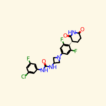 O=C1CC[C@H](c2c(F)cc(N3CC(NC(=O)Nc4cc(F)cc(Cl)c4)C3)cc2F)C(=O)N1